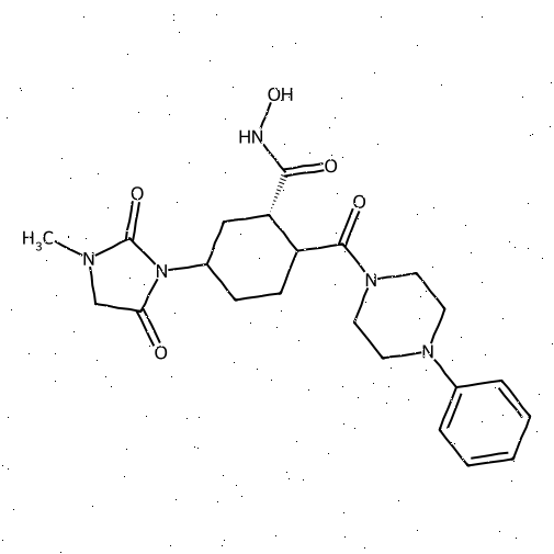 CN1CC(=O)N(C2CCC(C(=O)N3CCN(c4ccccc4)CC3)[C@@H](C(=O)NO)C2)C1=O